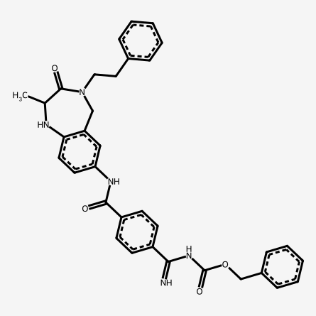 CC1Nc2ccc(NC(=O)c3ccc(C(=N)NC(=O)OCc4ccccc4)cc3)cc2CN(CCc2ccccc2)C1=O